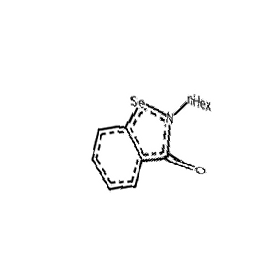 CCCCCCn1[se]c2ccccc2c1=O